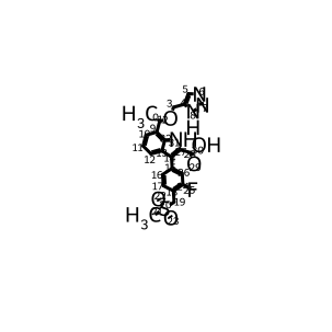 CC(OCc1cnn[nH]1)c1cccc2c(-c3ccc(CS(C)(=O)=O)c(F)c3)c(C(=O)O)[nH]c12